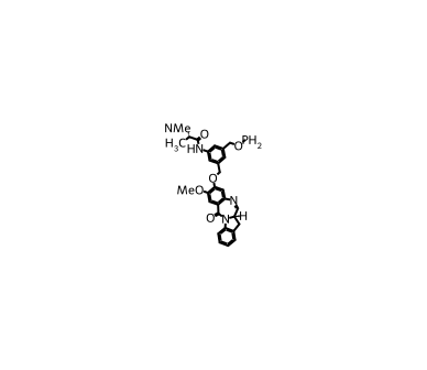 CN[C@@H](C)C(=O)Nc1cc(COP)cc(COc2cc3c(cc2OC)C(=O)N2c4ccccc4C[C@H]2C=N3)c1